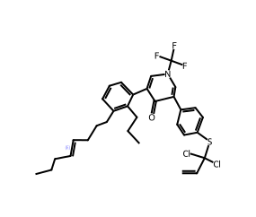 C=CC(Cl)(Cl)Sc1ccc(-c2cn(C(F)(F)F)cc(-c3cccc(CCC/C=C/CCC)c3CCC)c2=O)cc1